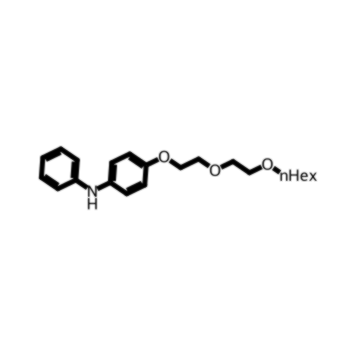 CCCCCCOCCOCCOc1ccc(Nc2ccccc2)cc1